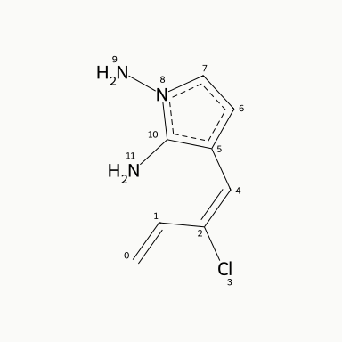 C=C/C(Cl)=C\c1ccn(N)c1N